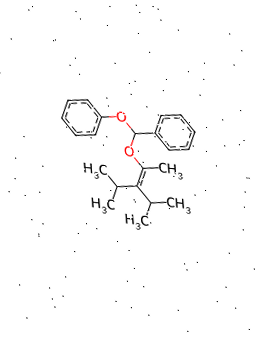 CC(OC(Oc1ccccc1)c1ccccc1)=C(C(C)C)C(C)C